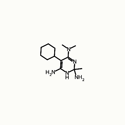 CN(C)C1=NC(C)(N)NC(N)=C1C1CCCCC1